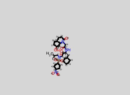 CC(C)CN(C[C@@H](O)[C@H](Cc1ccccc1)NC(=O)Cn1c(=O)ccc2ccc(O)cc21)S(=O)(=O)c1ccc([N+](=O)[O-])cc1